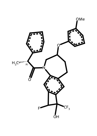 COc1cccc(OC2CCc3cc4c(cc3N(C(=O)[C@H](C)c3ccccc3)C2)C(F)C4(O)C(F)(F)F)c1